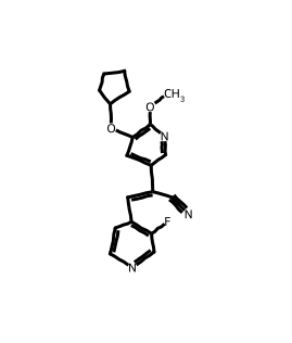 COc1ncc(C(C#N)=Cc2ccncc2F)cc1OC1CCCC1